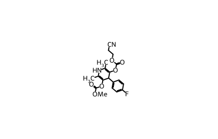 COC(=O)OC1=C(C)NC(C)=C(OC(=O)OCCC#N)C1c1ccc(F)cc1